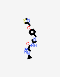 O=C(NC1CN(Cc2ccc(OCc3cscn3)cc2)C1)c1cn(C2CC2)nn1